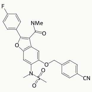 CNC(=O)c1c(-c2ccc(F)cc2)oc2cc(N(C)S(C)(=O)=O)c(OCc3ccc(C#N)cc3)cc12